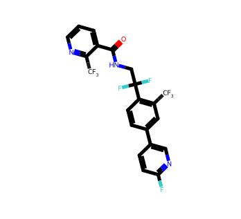 O=C(NCC(F)(F)c1ccc(-c2ccc(F)nc2)cc1C(F)(F)F)c1cccnc1C(F)(F)F